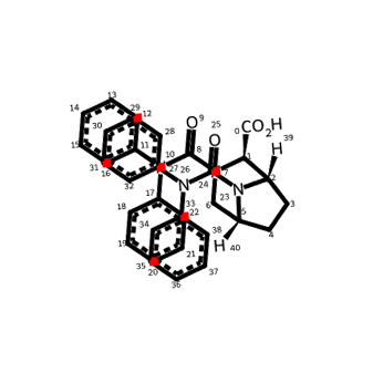 O=C(O)[C@H]1[C@@H]2CC[C@H](CN1C(=O)N(c1ccccc1)c1ccccc1)N2C(=O)N(c1ccccc1)c1ccccc1